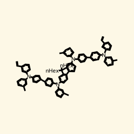 C=Cc1cccc(N(c2ccc(-c3ccc(N(c4cccc(C)c4)c4ccc5c(c4)C(CCCCCC)(CCCCCC)c4cc(N(c6ccc(-c7ccc(N(c8cccc(C)c8)c8cccc(C=C)c8)cc7)cc6)c6cccc(C)c6)ccc4-5)cc3)cc2)c2cccc(C)c2)c1